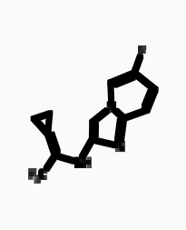 Fc1ccc2nc(NC(=C3CC3)C(F)(F)F)cn2c1